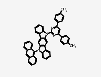 Cc1ccc(-c2cc(-c3ccc(C)cc3)nc(-n3c4ccccc4c4cc5c(cc43)c3ccccc3n5-c3c4ccccc4cc4ccccc34)n2)cc1